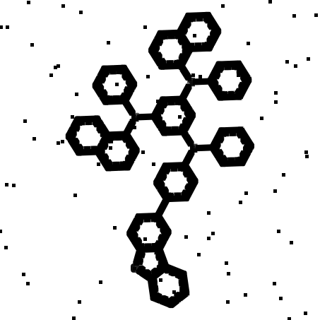 c1ccc(N(c2ccc(-c3ccc4oc5ccccc5c4c3)cc2)c2cc(N(c3ccccc3)c3cccc4ccccc34)cc(N(c3ccccc3)c3cccc4ccccc34)c2)cc1